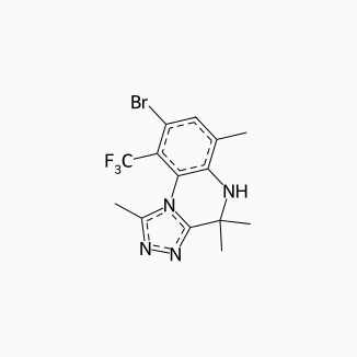 Cc1cc(Br)c(C(F)(F)F)c2c1NC(C)(C)c1nnc(C)n1-2